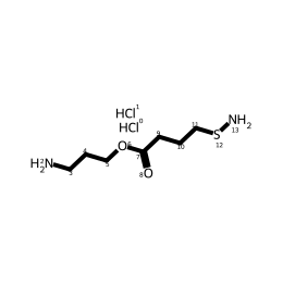 Cl.Cl.NCCCOC(=O)CCCSN